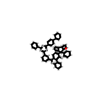 c1ccc(-c2ccc(-c3nc(-c4ccccc4)nc(-c4cccc(-c5nc6ccccc6c6c7c(ccc56)C5(c6ccccc6O7)c6ccccc6-c6ccccc65)c4)n3)cc2)cc1